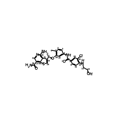 Cc1ccc(NC(=O)c2ccc(NCCO)c(Cl)c2)cc1OCc1csc2c(C(N)=O)cnc(N)c12